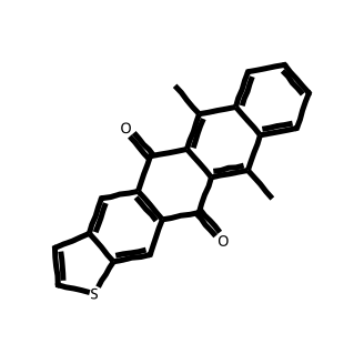 Cc1c2c(c(C)c3ccccc13)C(=O)c1cc3sccc3cc1C2=O